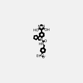 CC[S+]([O-])c1ccc(CNC(=O)N2CC3(CCCC3)c3cc(-c4c(O)ncnc4O)ccc32)cc1